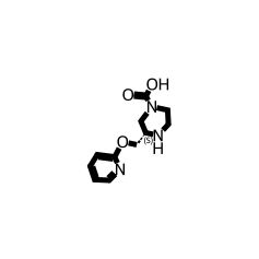 O=C(O)N1CCN[C@H](COc2ccccn2)C1